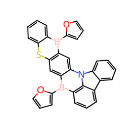 c1coc(B2c3ccccc3Sc3cc4c(cc32)-n2c3ccccc3c3cccc(c32)B4c2ccco2)c1